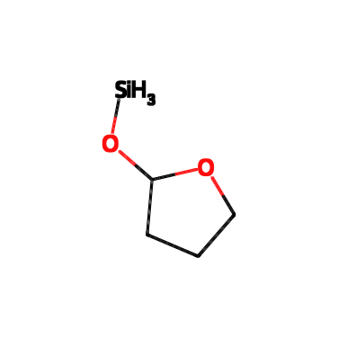 [SiH3]OC1CCCO1